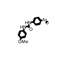 COc1ccc(NC(=O)Nc2ccc([As]=O)cc2)cc1